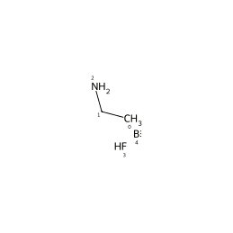 CCN.F.[B]